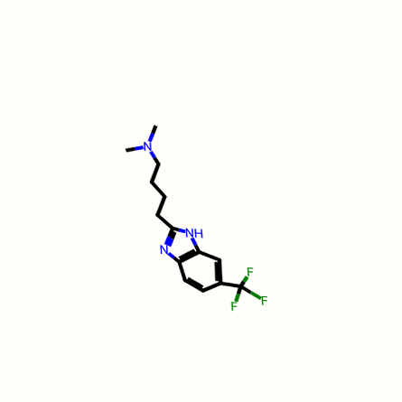 CN(C)CCCCc1nc2ccc(C(F)(F)F)cc2[nH]1